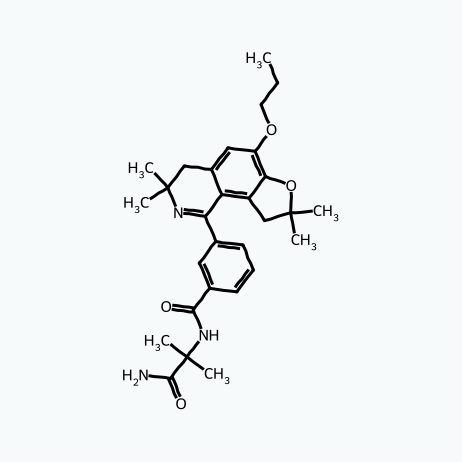 CCCOc1cc2c(c3c1OC(C)(C)C3)C(c1cccc(C(=O)NC(C)(C)C(N)=O)c1)=NC(C)(C)C2